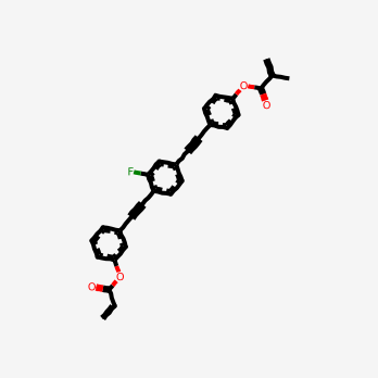 C=CC(=O)Oc1cccc(C#Cc2ccc(C#Cc3ccc(OC(=O)C(=C)C)cc3)cc2F)c1